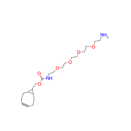 NCCOCCOCCOCCOCCNC(=O)OCC1C2CCC#CCCC21